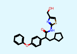 O=C(Nc1nc(CO)cs1)C(CC1CCCC1)c1ccc(Oc2ccccc2)cc1